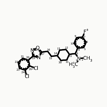 CN(C)C(c1ccc(F)cc1)C1CCC(CCc2nc(-c3cccc(Cl)c3Cl)no2)CC1